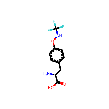 N[C@@H](Cc1ccc(ONC(F)(F)F)cc1)C(=O)O